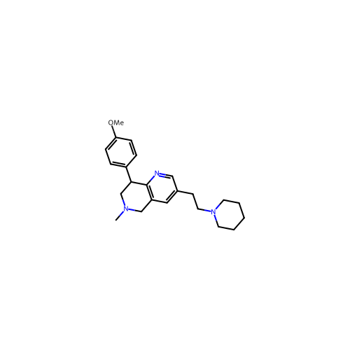 COc1ccc(C2CN(C)Cc3cc(CCN4CCCCC4)cnc32)cc1